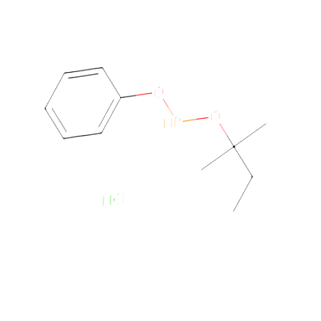 CCC(C)(C)OPOc1ccccc1.Cl